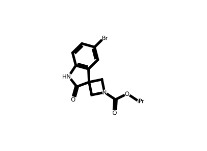 CC(C)OC(=O)N1CC2(C1)C(=O)Nc1ccc(Br)cc12